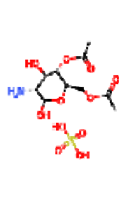 CC(=O)OC[C@H]1OC(O)[C@H](N)[C@@H](O)[C@@H]1OC(C)=O.O=S(=O)(O)O